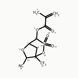 C=C(C)C(=O)OC1C2CC(C(F)(F)F)(OS1(=O)=O)C(C#N)O2